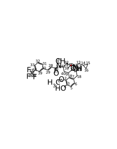 COc1c(O)ccc2c1[C@]13CCN(CC4CC4)[C@H](C2)[C@]1(O)CCC(N(C)C(=O)/C=C/c1cccc(C(F)(F)F)c1)C3